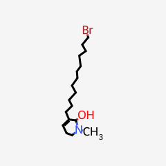 CN1CCC=C(CCCCCCCCCCCCBr)C1O